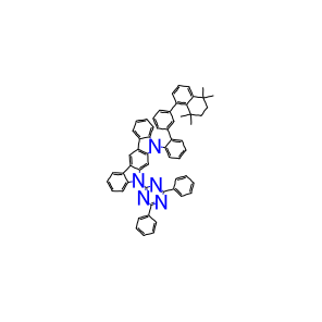 CC1(C)CCC(C)(C)c2c(-c3cccc(-c4ccccc4-n4c5ccccc5c5cc6c7ccccc7n(-c7nc(-c8ccccc8)nc(-c8ccccc8)n7)c6cc54)c3)cccc21